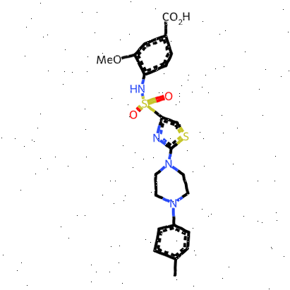 COc1cc(C(=O)O)ccc1NS(=O)(=O)c1csc(N2CCN(c3ccc(C)cc3)CC2)n1